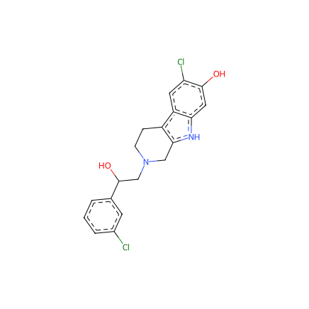 Oc1cc2[nH]c3c(c2cc1Cl)CCN(CC(O)c1cccc(Cl)c1)C3